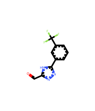 O=Cc1nnc(-c2cccc(C(F)(F)F)c2)[nH]1